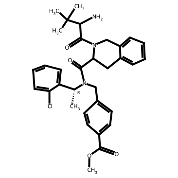 COC(=O)c1ccc(CN(C(=O)C2Cc3ccccc3CN2C(=O)C(N)C(C)(C)C)[C@H](C)c2ccccc2Cl)cc1